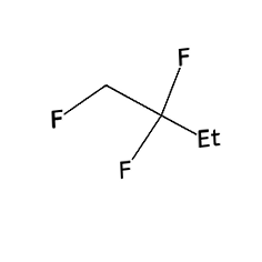 CCC(F)(F)CF